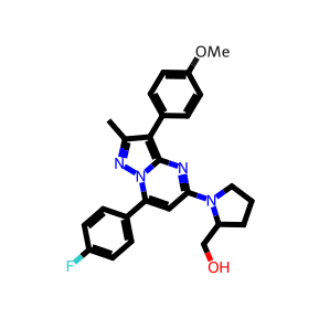 COc1ccc(-c2c(C)nn3c(-c4ccc(F)cc4)cc(N4CCCC4CO)nc23)cc1